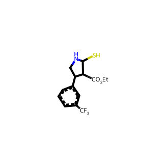 CCOC(=O)C1C(S)NCC1c1cccc(C(F)(F)F)c1